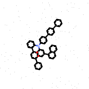 c1ccc(-c2ccc(-c3ccc(N(c4cccc(-c5cccc6ccccc56)c4)c4ccccc4-c4ccc(-c5ccccc5)cc4)cc3)cc2)cc1